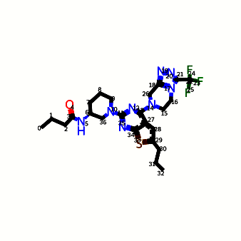 CCCC(=O)N[C@H]1CCCN(c2nc(N3CCn4c(nnc4C(F)(F)F)C3)c3cc(CCC)sc3n2)C1